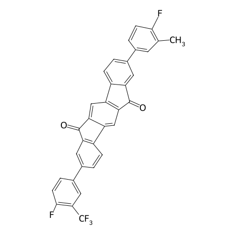 Cc1cc(-c2ccc3c(c2)c(=O)c2cc4c(cc23)c(=O)c2cc(-c3ccc(F)c(C(F)(F)F)c3)ccc24)ccc1F